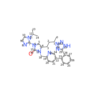 CCCCc1cn(-c2nccn2C(C)C)c(=O)n1Cc1ccc(-c2ccccc2-c2nnn[nH]2)cn1